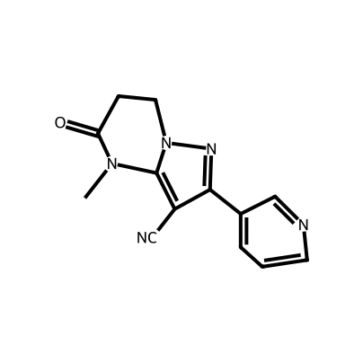 CN1C(=O)CCn2nc(-c3cccnc3)c(C#N)c21